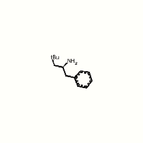 CC(C)(C)C[C@@H](N)Cc1ccccc1